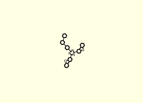 c1ccc(-c2cccc(-c3ccc(-c4nc(-c5ccc6c(c5)oc5ccccc56)nc(-c5ccc6sc7ccccc7c6c5)n4)cc3)c2)cc1